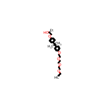 C#CCOCCOCCOCCOc1ccc(C(C)(C)c2ccc(OC[C@H](O)CC)cc2)cc1